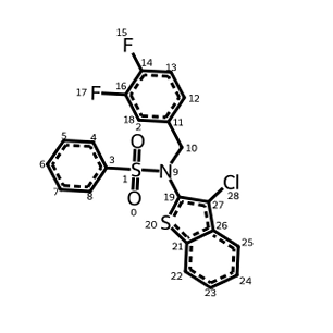 O=S(=O)(c1ccccc1)N(Cc1ccc(F)c(F)c1)c1sc2ccccc2c1Cl